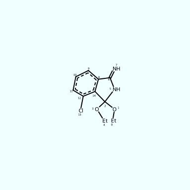 CCOC1(OCC)NC(=N)c2cccc(Cl)c21